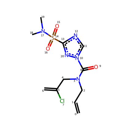 C=CCN(CC(=C)Cl)C(=O)n1cnc(S(=O)(=O)N(C)C)n1